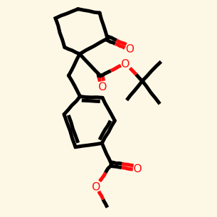 COC(=O)c1ccc(CC2(C(=O)OC(C)(C)C)CCCCC2=O)cc1